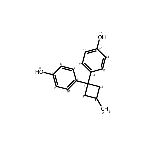 CC1CC(c2ccc(O)cc2)(c2ccc(O)cc2)C1